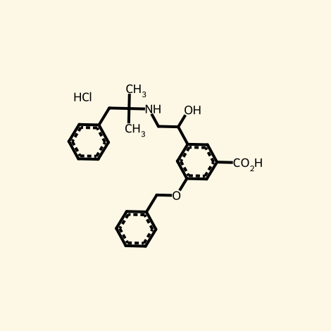 CC(C)(Cc1ccccc1)NCC(O)c1cc(OCc2ccccc2)cc(C(=O)O)c1.Cl